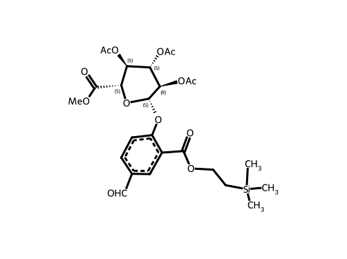 COC(=O)[C@H]1O[C@@H](Oc2ccc(C=O)cc2C(=O)OCC[Si](C)(C)C)[C@H](OC(C)=O)[C@@H](OC(C)=O)[C@@H]1OC(C)=O